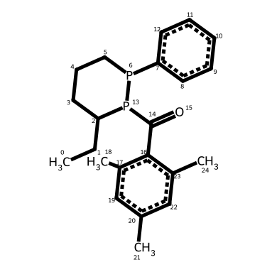 CCC1CCCP(c2ccccc2)P1C(=O)c1c(C)cc(C)cc1C